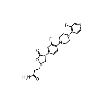 NC(=O)CC[C@H]1CN(c2ccc(N3CCN(c4ccncc4F)CC3)c(F)c2)C(=O)O1